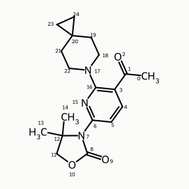 CC(=O)c1ccc(N2C(=O)OCC2(C)C)nc1N1CCC2(CC1)CC2